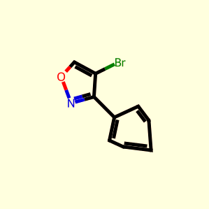 Brc1conc1-c1ccccc1